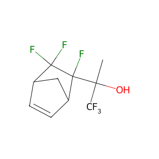 CC(O)(C(F)(F)F)C1(F)C2C=CC(C2)C1(F)F